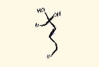 OC(O)(Br)/C=C/CBr